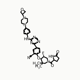 CC1(C)CN(C(=O)C2CCC(=O)N2)C[C@H](F)[C@@H]1Oc1ccc(-c2ncnc(Nc3ccc(N4CCN(C5COC5)CC4)cc3)n2)cc1C#N